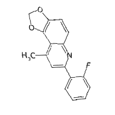 Cc1cc(-c2ccccc2F)nc2ccc3c(c12)OCO3